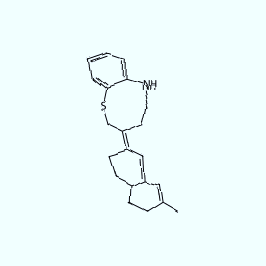 CC1=CC2=C/C(=C3\CCNc4ccccc4SC3)CCC2CC1